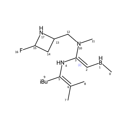 CB/C=C(/NC(=C(C)C)C(C)CC)N(C)CC1CC(F)N1